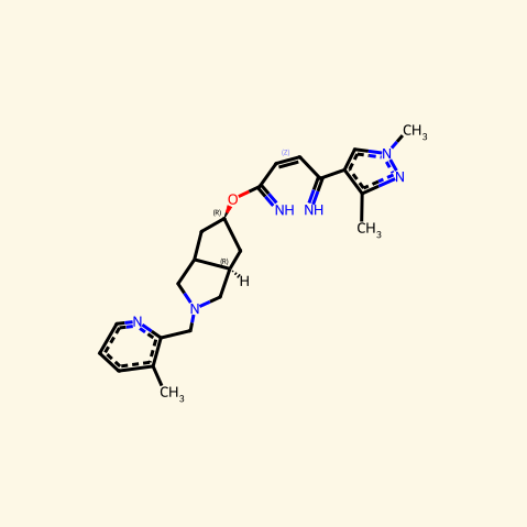 Cc1cccnc1CN1CC2C[C@@H](OC(=N)/C=C\C(=N)c3cn(C)nc3C)C[C@H]2C1